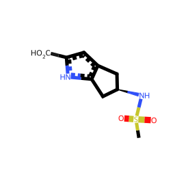 CS(=O)(=O)N[C@@H]1Cc2cc(C(=O)O)[nH]c2C1